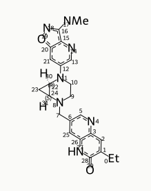 CCc1cc2ncc(CN3CCN(c4cnc5c(NC)noc5c4)[C@@H]4C[C@@H]43)cc2[nH]c1=O